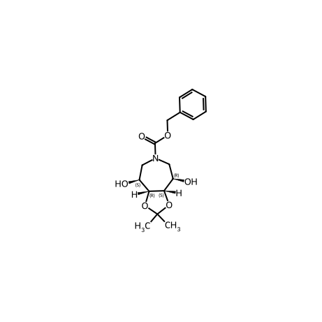 CC1(C)O[C@@H]2[C@H](O1)[C@@H](O)CN(C(=O)OCc1ccccc1)C[C@H]2O